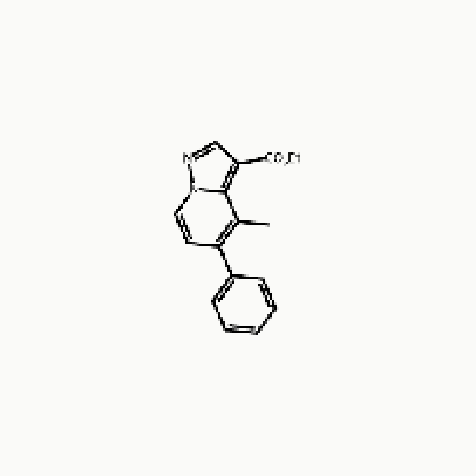 CCOC(=O)c1cnn2ccc(-c3ccccc3)c(C)c12